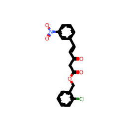 O=C(C=Cc1cccc([N+](=O)[O-])c1)CC(=O)OCc1ccccc1Cl